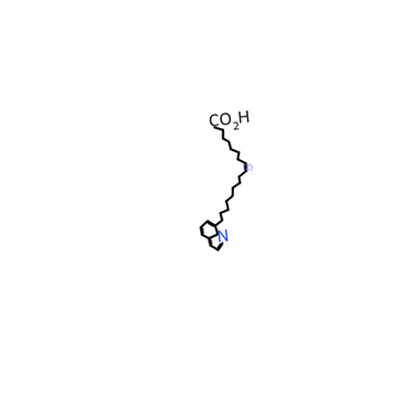 O=C(O)CCCCCCC/C=C\CCCCCCCCc1cccc2cccnc12